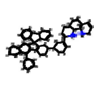 C1=CC(C2C=CC3=C(C2)C2(c4ccccc4C4C=CC=CC42)c2cc4ccccc4c(-c4ccccc4)c23)CC(C2=CC=C3C=CC4=C(NCC=C4)C3N2)=C1